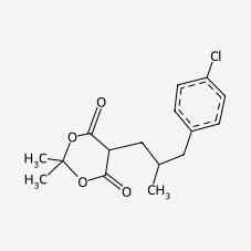 CC(Cc1ccc(Cl)cc1)CC1C(=O)OC(C)(C)OC1=O